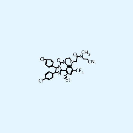 CCOc1cc(C(F)(F)F)ccc1C1=NC(c2ccc(Cl)cc2)C(c2ccc(Cl)cc2)N1C(=O)N1CCN(CC(=O)N(C)CCC#N)CC1